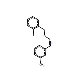 Cc1cccc(/[C]=N\OCc2ccccc2F)c1